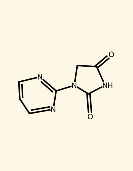 O=C1CN(c2ncccn2)C(=O)N1